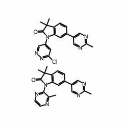 Cc1ncc(-c2ccc3c(c2)N(c2cnnc(Cl)c2)C(=O)C3(C)C)cn1.Cc1ncc(-c2ccc3c(c2)N(c2nccnc2C)C(=O)C3(C)C)cn1